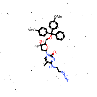 [2H][C@]1(O)C[C@H](n2cc(C)c(NCCN=[N+]=[N-])nc2=O)O[C@@H]1COC(c1ccccc1)(c1ccc(OC)cc1)c1ccc(OC)cc1